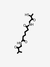 CC(C)C(=O)CNC(=O)CCCCC(=O)NCC(=O)C(C)S